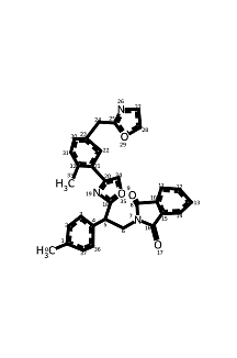 Cc1ccc(C(CN2C(=O)c3ccccc3C2=O)c2nc(-c3cc(Cc4ncco4)ccc3C)co2)cc1